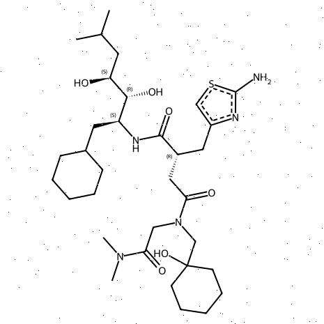 CC(C)C[C@H](O)[C@H](O)[C@H](CC1CCCCC1)NC(=O)[C@@H](CC(=O)N(CC(=O)N(C)C)CC1(O)CCCCC1)Cc1csc(N)n1